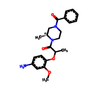 COc1cc(N)ccc1OC(C)C(=O)N1CCN(C(=O)c2ccccc2)C[C@H]1C